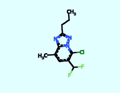 CCCc1nc2c(C)cc(C(F)F)c(Cl)n2n1